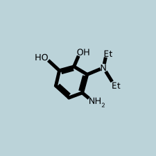 CCN(CC)c1c(N)ccc(O)c1O